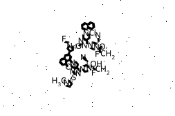 C=C(F)C(=O)N1CCN(c2nc(OC[C@@H]3CC(c4cc(N5CCc6c(nc(SC[C@@H]7CCCN7C)nc6N6CCN(C(O)C(=C)F)[C@@H](CC#N)C6)C5)c5c(C)cccc5c4)CN3CCF)nc3c2CCN(c2cccc4cccc(Cl)c24)C3)C[C@@H]1CC#N